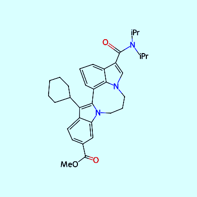 COC(=O)c1ccc2c(C3CCCCC3)c3n(c2c1)CCCn1cc(C(=O)N(C(C)C)C(C)C)c2cccc-3c21